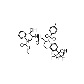 CCOC(=O)N1CC(NC(=O)C[C@@H]2CCc3cc(C(O)(C(F)(F)F)C(F)(F)F)ccc3N2S(=O)(=O)c2ccc(C)cc2)C(O)c2ccccc21